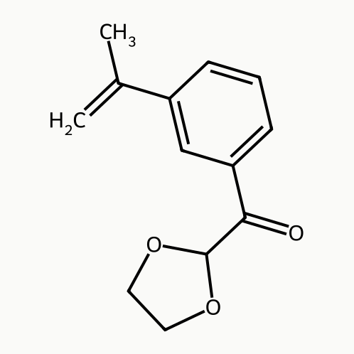 C=C(C)c1cccc(C(=O)C2OCCO2)c1